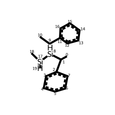 CC(c1ccccc1)[SiH](C(C)c1ccccc1)[SiH](C)C